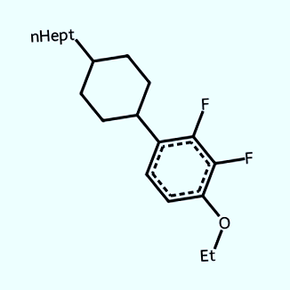 CCCCCCCC1CCC(c2ccc(OCC)c(F)c2F)CC1